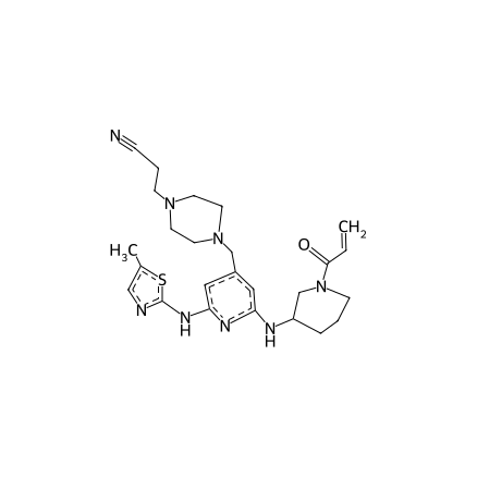 C=CC(=O)N1CCCC(Nc2cc(CN3CCN(CCC#N)CC3)cc(Nc3ncc(C)s3)n2)C1